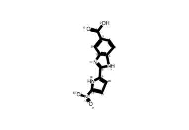 O=C(O)c1ccc2[nH]c(-c3ccc([N+](=O)[O-])[nH]3)nc2c1